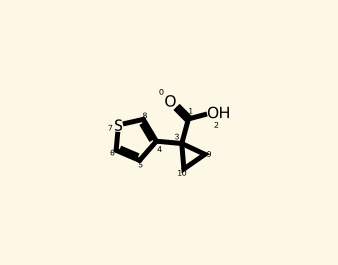 O=C(O)C1(c2ccsc2)CC1